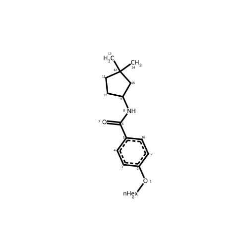 CCCCCCOc1ccc(C(=O)NC2CCC(C)(C)C2)cc1